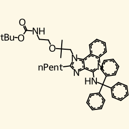 CCCCCc1nc2c(NC(c3ccccc3)(c3ccccc3)c3ccccc3)nc3ccccc3c2n1CC(C)(C)OCCNC(=O)OC(C)(C)C